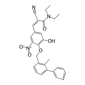 CCN(CC)C(=O)C(C#N)=Cc1cc(O)c(OCc2cccc(-c3ccccc3)c2C)c([N+](=O)[O-])c1